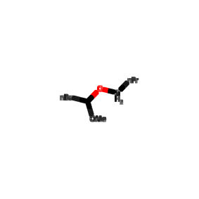 CCCCC(OC)O[SiH2]CCC